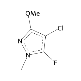 COc1nn(C)c(F)c1Cl